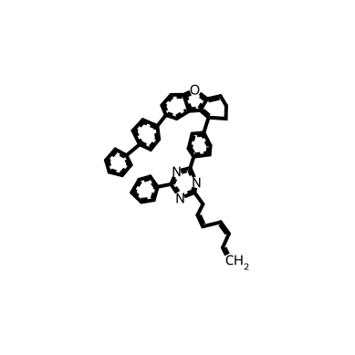 C=C/C=C\C=C/Cc1nc(-c2ccccc2)nc(-c2ccc(C3=c4c(oc5ccc(-c6ccc(-c7ccccc7)cc6)cc45)=CCC3)cc2)n1